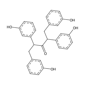 O=C(C(Cc1cccc(O)c1)c1cccc(O)c1)C(Cc1cccc(O)c1)c1cccc(O)c1